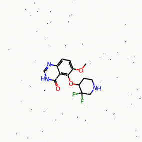 COc1ccc2nc[nH]c(=O)c2c1OC1CCNCC1(F)F